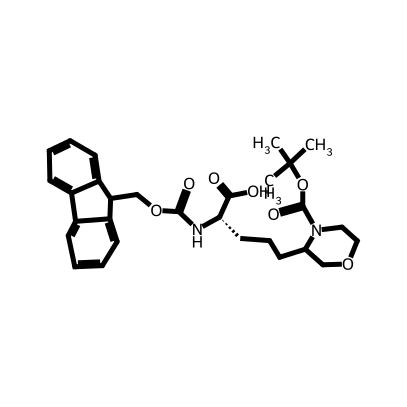 CC(C)(C)OC(=O)N1CCOCC1CCC[C@H](NC(=O)OCC1c2ccccc2-c2ccccc21)C(=O)O